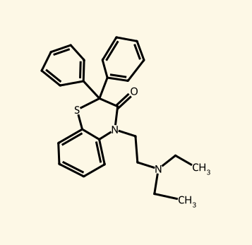 CCN(CC)CCN1C(=O)C(c2ccccc2)(c2ccccc2)Sc2ccccc21